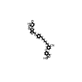 N#Cc1ccc(Oc2ccc3c(c2)COB3O)cc1CCCCCCCc1ccc(OCc2scc3c2CN(C2CCC(=O)NC2=O)C3=O)cc1